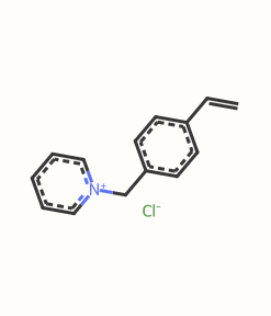 C=Cc1ccc(C[n+]2ccccc2)cc1.[Cl-]